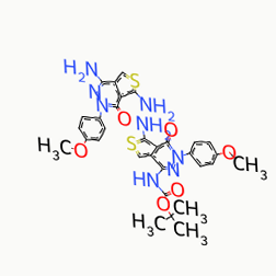 COc1ccc(-n2nc(N)c3csc(N)c3c2=O)cc1.COc1ccc(-n2nc(NC(=O)OC(C)(C)C)c3csc(N)c3c2=O)cc1